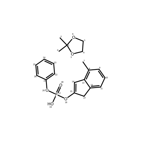 CC1(C)OCCO1.Cc1cccc2c1C=C(OP(=O)(O)Oc1ccccc1)C2